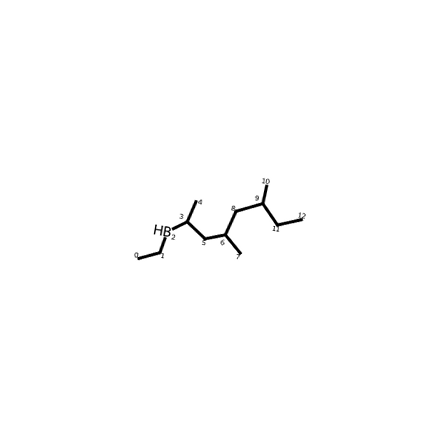 CCBC(C)CC(C)CC(C)CC